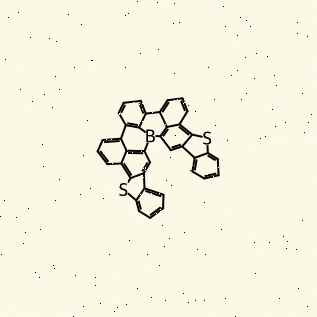 c1cc2c3c(c1)-c1cccc4c1c(cc1c5ccccc5sc41)B3c1cc3c4ccccc4sc3c3cccc-2c13